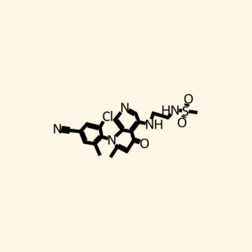 Cc1cc(C#N)cc(Cl)c1-n1c(C)cc(=O)c2c(NCCNS(C)(=O)=O)cncc21